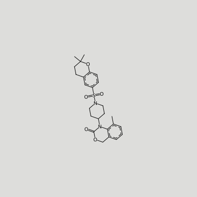 Cc1cccc2c1N(C1CCN(S(=O)(=O)c3ccc4c(c3)CCC(C)(C)O4)CC1)C(=O)OC2